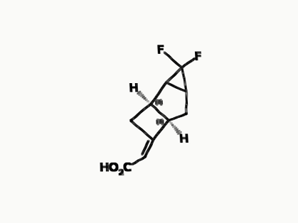 O=C(O)C=C1C[C@H]2C3C(C[C@@H]12)C3(F)F